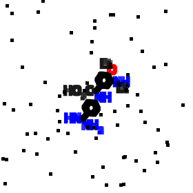 CCNc1cc(C(Nc2ccc(C(=N)N)cc2)C(=O)O)ccc1OCC